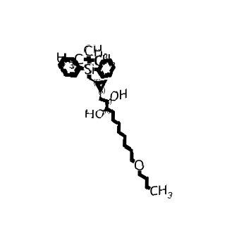 CCCCOCCCCCCCC[C@@H](O)[C@@H](O)C[C@@H]1C[C@@H]1C[Si](c1ccccc1)(c1ccccc1)C(C)(C)C